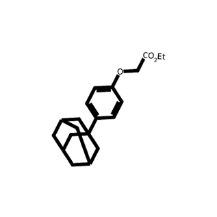 CCOC(=O)COc1ccc(C23CC4CC(CC(C4)C2)C3)cc1